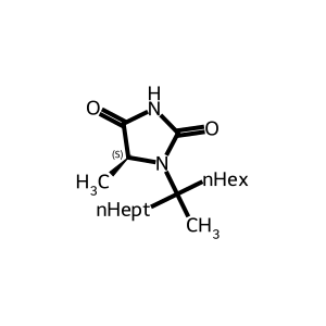 CCCCCCCC(C)(CCCCCC)N1C(=O)NC(=O)[C@@H]1C